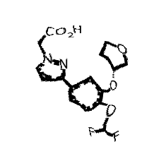 O=C(O)Cn1ccc(-c2ccc(OC(F)F)c(O[C@@H]3CCOC3)c2)n1